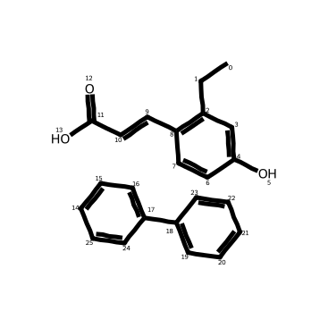 CCc1cc(O)ccc1C=CC(=O)O.c1ccc(-c2ccccc2)cc1